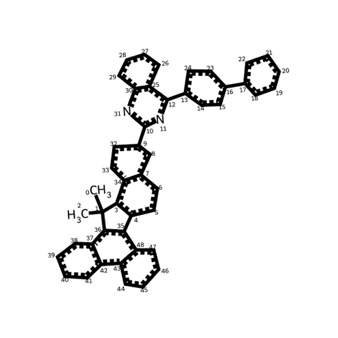 CC1(C)c2c(ccc3cc(-c4nc(-c5ccc(-c6ccccc6)cc5)c5ccccc5n4)ccc23)-c2c1c1ccccc1c1ccccc21